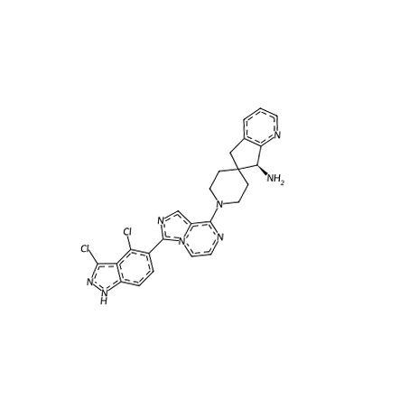 N[C@@H]1c2ncccc2CC12CCN(c1nccn3c(-c4ccc5[nH]nc(Cl)c5c4Cl)ncc13)CC2